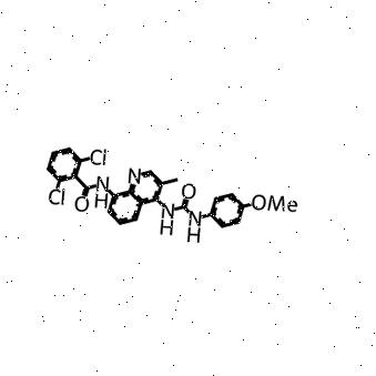 COc1ccc(NC(=O)Nc2c(C)cnc3c(NC(=O)c4c(Cl)cccc4Cl)cccc23)cc1